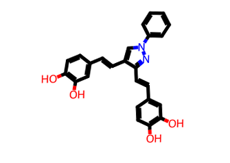 Oc1ccc(/C=C/c2cn(-c3ccccc3)nc2/C=C/c2ccc(O)c(O)c2)cc1O